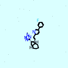 Cn1nnc([C@H]2C[C@H]3CCCC[C@@H]3[C@@H]2C=Cc2ccc(-c3cccc(F)c3)cn2)n1